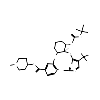 CN1CCC(NC(=O)c2ccc3c(c2)OC2CCC[C@@H](NC(=O)NC(C)(C)C)[C@@H]2Nc2nc(ncc2C(F)(F)F)N3)CC1